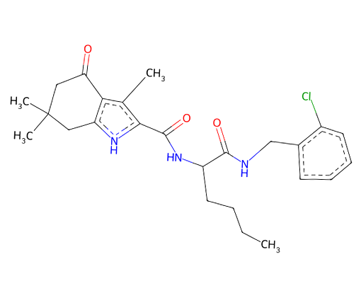 CCCCC(NC(=O)c1[nH]c2c(c1C)C(=O)CC(C)(C)C2)C(=O)NCc1ccccc1Cl